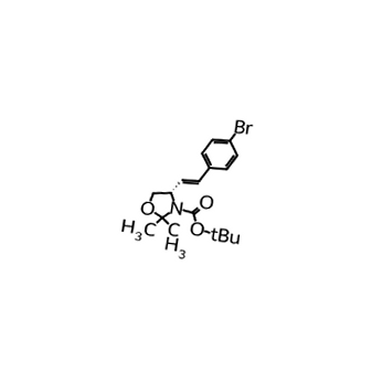 CC(C)(C)OC(=O)N1[C@@H](C=Cc2ccc(Br)cc2)COC1(C)C